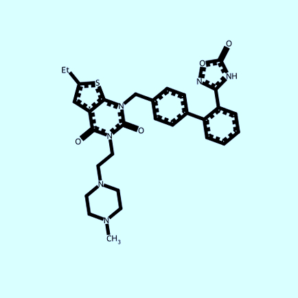 CCc1cc2c(=O)n(CCN3CCN(C)CC3)c(=O)n(Cc3ccc(-c4ccccc4-c4noc(=O)[nH]4)cc3)c2s1